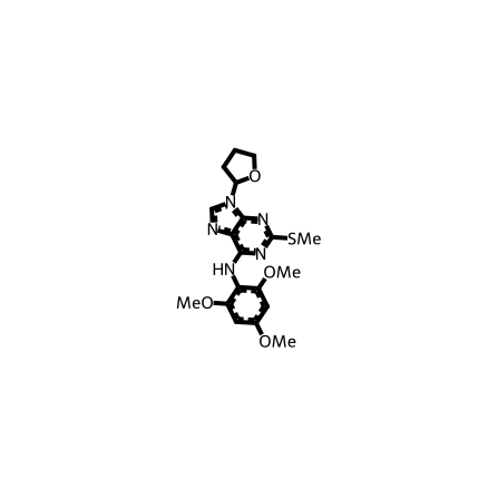 COc1cc(OC)c(Nc2nc(SC)nc3c2ncn3C2CCCO2)c(OC)c1